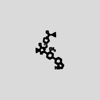 Cc1cc(-c2ccc3cc[nH]c3c2)ccc1C1=NC2(CC2)C(=O)N1C[C@@H]1CCN(C(=O)C2CC2)C1